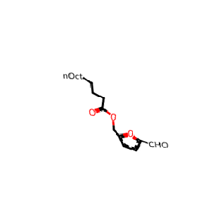 CCCCCCCCCCCC(=O)OCc1ccc(C=O)o1